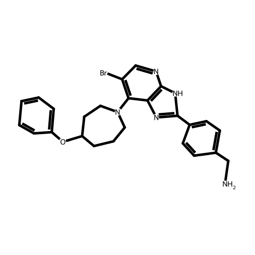 NCc1ccc(-c2nc3c(N4CCCC(Oc5ccccc5)CC4)c(Br)cnc3[nH]2)cc1